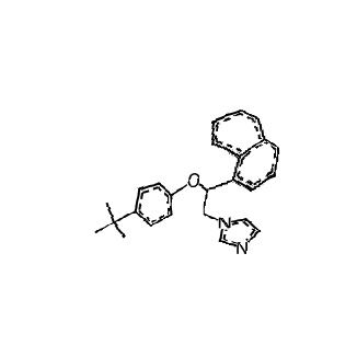 CC(C)(C)c1ccc(OC(Cn2ccnc2)c2cccc3ccccc23)cc1